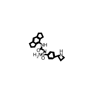 NS(=O)(=NC(=O)Nc1c2c(cc3c1CCC3)CCC2)c1ccc(C2CCN2)cc1